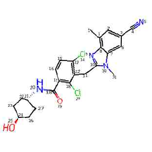 Cc1cc(C#N)cc2c1nc(Cc1c(Cl)ccc(C(=O)N[C@H]3CC[C@H](O)CC3)c1Cl)n2C